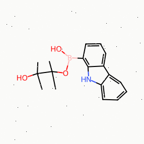 CC(C)(O)C(C)(C)OB(O)c1cccc2c1[nH]c1ccccc12